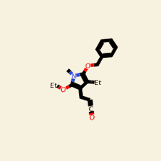 CCOc1c(CC=C=O)c(CC)c(OCc2ccccc2)n1C